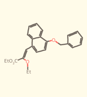 CCOC(=O)C(=Cc1ccc(OCc2ccccc2)c2ccccc12)OCC